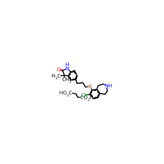 CC1(C)C(=O)Nc2ccc(CCCSc3c(Cl)ccc4c3CCNCC4)cc21.O=C(O)CCC(=O)O